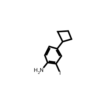 Nc1ccc(C2CCC2)cc1I